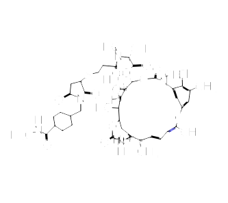 CNC(=O)C1CCC(CN2C(=O)CC(SCCC(=O)N(C)[C@@H](C)C(=O)O[C@H]3CC(=O)N(C)c4cc(cc(C)c4Cl)C/C(C)=C/C=C/[C@@H](C)[C@@]4(O)CC(OC(=O)N4)C(C)[C@@H]4O[C@@]34C)C2=O)CC1